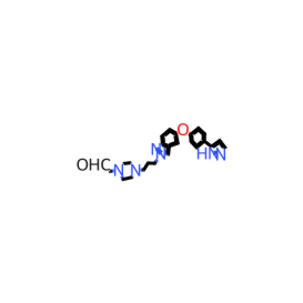 O=CCN1CCN(CCCn2cc3cc(Oc4ccc(-c5ccn[nH]5)cc4)ccc3n2)CC1